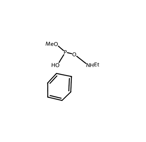 CCNOP(O)OC.c1ccccc1